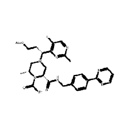 COCC[C@H](c1nc(C)ncc1F)N1C[C@@H](C)N(C(=O)C(C)C)[C@@H](C(=O)NCc2ccc(-c3ncccn3)cc2)C1